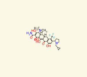 CN(C)[C@@H]1C(O)=C(C(N)=O)C(=O)[C@@]2(O)C(O)=C3C(=O)c4c(O)cc(C5CCCN5CC5CC5)c(C(F)(F)F)c4C[C@H]3C[C@@H]12